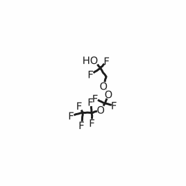 OC(F)(F)COOC(F)(F)OC(F)(F)C(F)(F)F